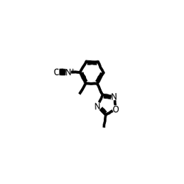 [C-]#[N+]c1cccc(-c2noc(C)n2)c1C